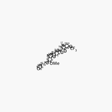 COc1cc2c(Oc3ccc(NC(=O)c4c(C)n(C)c5ccc(OC(F)(F)F)cc5c4=O)cc3F)ncnc2cc1OCCCN1CCOCC1